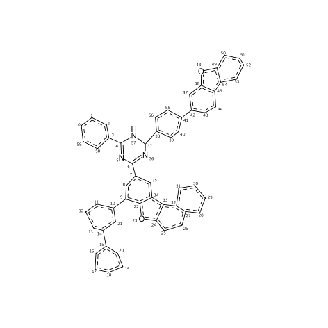 c1ccc(C2=NC(c3cc(-c4cccc(-c5ccccc5)c4)c4oc5ccc6ccccc6c5c4c3)=NC(c3ccc(-c4ccc5c(c4)oc4ccccc45)cc3)N2)cc1